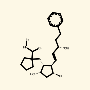 CCNC(O)C1(C[C@@H]2[C@@H](/C=C/[C@@H](O)CCc3ccccc3)[C@H](O)C[C@@H]2O)CCCC1